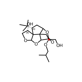 CC(C)COC(CO)CC12C3C[C@@H](C(C)(C)C)C14C(OC[C@@H]4O)OC2C(=O)O3